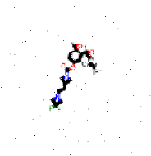 CO[C@@H]1[C@H](OC(=O)N2CC(CCN3CC(F)(F)C3)C2)CC[C@]2(CO2)[C@H]1[C@@]1(C)O[C@@H]1CCC(C)C